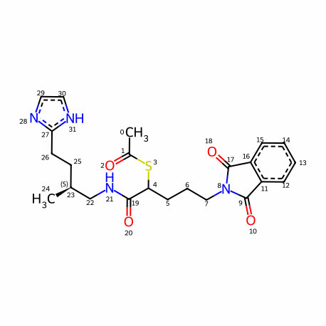 CC(=O)SC(CCCN1C(=O)c2ccccc2C1=O)C(=O)NC[C@@H](C)CCc1ncc[nH]1